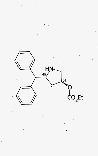 CCOC(=O)O[C@@H]1CN[C@@H](C(c2ccccc2)c2ccccc2)C1